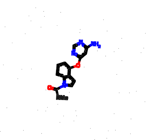 CNC(=O)n1ccc2c(Oc3cc(N)ncn3)cccc21